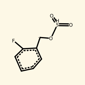 O=[SH](=O)O[CH]c1ccccc1F